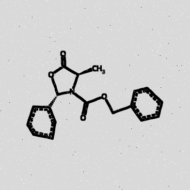 C[C@@H]1C(=O)O[C@@H](c2ccccc2)N1C(=O)OCc1ccccc1